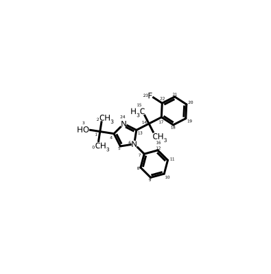 CC(C)(O)c1cn(-c2ccccc2)c(C(C)(C)c2ccccc2F)n1